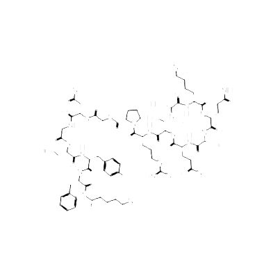 CC[C@H](C)[C@H](NC(=O)[C@H](CCC(N)=O)NC(=O)[C@H](CCCCN)NC(=O)[C@H](C)N)C(=O)N[C@@H](CCC(N)=O)C(=O)N[C@@H](CO)C(=O)N[C@@H](CCCNC(=N)N)C(=O)N1CCC[C@H]1C(=O)NCC(=O)N[C@@H](CC(N)=O)C(=O)N[C@@H](C)C(=O)N[C@@H](CC(C)C)C(=O)N[C@@H](Cc1ccc(O)cc1)C(=O)N[C@@H](Cc1ccccc1)C(=O)N[C@@H](CCCCN)C(=O)O